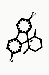 CC12CCCC(C)(CC1)C21c2cc(Br)ccc2-c2ccc(Br)cc21